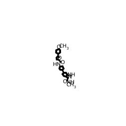 CNC(=O)c1n[nH]c2cc(-c3ccc(NC(=O)c4ccc(-c5ccc(OC)cc5)o4)cc3)ccc12